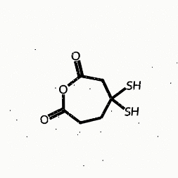 O=C1CCC(S)(S)CC(=O)O1